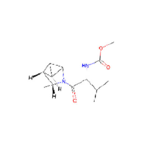 COC(=O)NC(C(=O)N1C2C3[C@@H]2[C@@H]3[C@H]1C)C(C)C